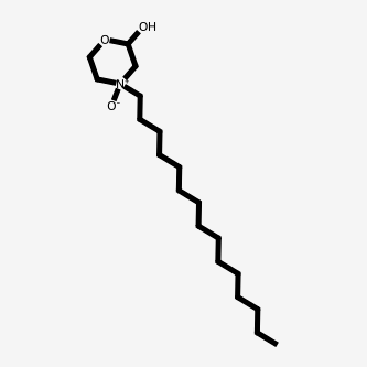 CCCCCCCCCCCCCCC[N+]1([O-])CCOC(O)C1